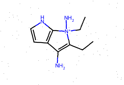 CCC1=C(N)c2cc[nH]c2[N+]1(N)CC